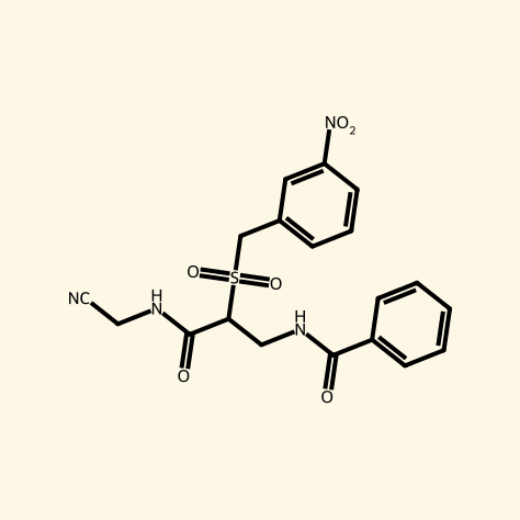 N#CCNC(=O)C(CNC(=O)c1ccccc1)S(=O)(=O)Cc1cccc([N+](=O)[O-])c1